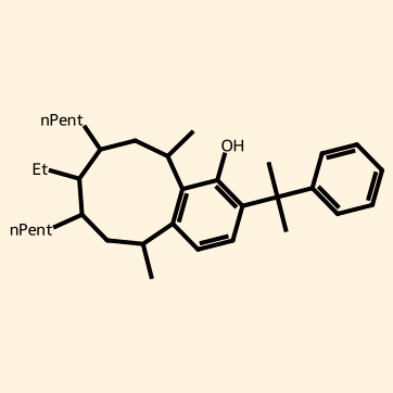 CCCCCC1CC(C)c2ccc(C(C)(C)c3ccccc3)c(O)c2C(C)CC(CCCCC)C1CC